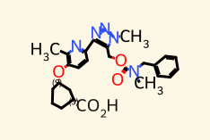 Cc1nc(-c2nnn(C)c2COC(=O)N(C)Cc2ccccc2)ccc1O[C@H]1CCC[C@H](C(=O)O)C1